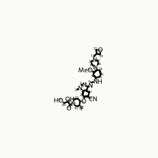 C=N/C=N\C(=N/CNC1=CC(OC)=C(N2CCN(CC3COC3)CC2)C=CC1)c1ccc(O[C@H]2CCN(C(=O)[C@H](O)CO)C[C@H]2F)c(C#N)c1